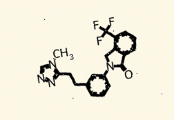 Cn1cnnc1CCc1cccc(N2Cc3c(cccc3C(F)(F)F)C2=O)c1